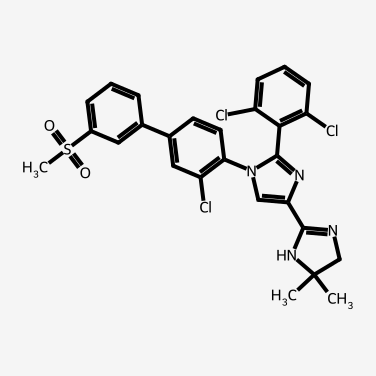 CC1(C)CN=C(c2cn(-c3ccc(-c4cccc(S(C)(=O)=O)c4)cc3Cl)c(-c3c(Cl)cccc3Cl)n2)N1